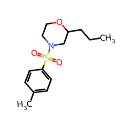 CCCC1CN(S(=O)(=O)c2ccc(C)cc2)CCO1